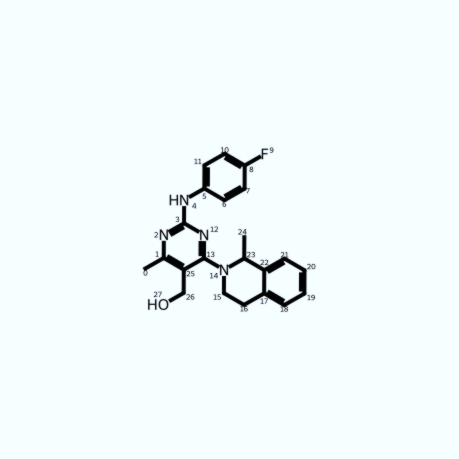 Cc1nc(Nc2ccc(F)cc2)nc(N2CCc3ccccc3C2C)c1CO